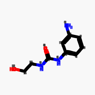 Nc1cccc(NC(=O)NCCO)c1